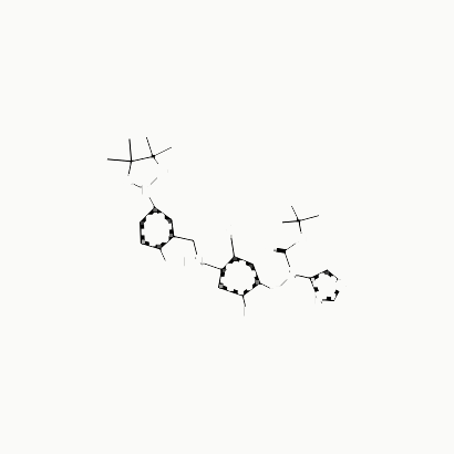 CC(C)(C)OC(=O)N(Sc1cc(Cl)c(NCc2cc(B3OC(C)(C)C(C)(C)O3)ccc2F)cc1F)c1cscn1